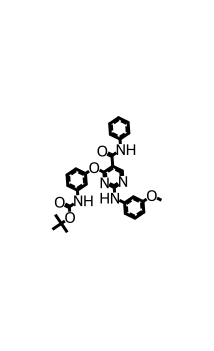 COc1cccc(Nc2ncc(C(=O)Nc3ccccc3)c(Oc3cccc(NC(=O)OC(C)(C)C)c3)n2)c1